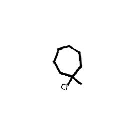 CC1(Cl)CCCCCC1